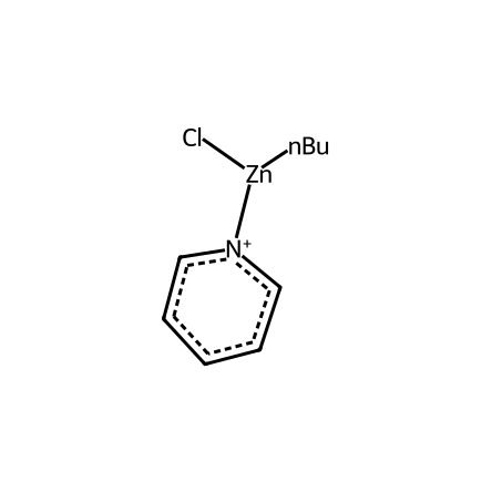 CCC[CH2][Zn]([Cl])[n+]1ccccc1